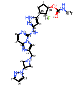 CC(C)NC(=O)O[C@@H]1CC[C@H](c2cc(Nc3nccc4nc(CN5CC(n6cccn6)C5)cn34)n[nH]2)[C@H]1F